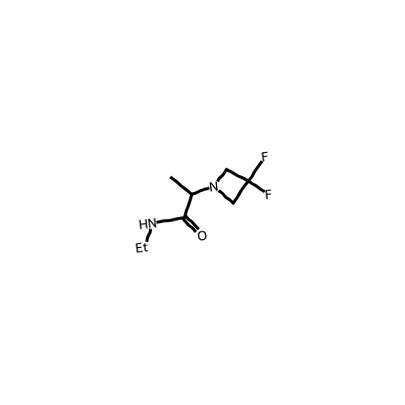 CCNC(=O)C(C)N1CC(F)(F)C1